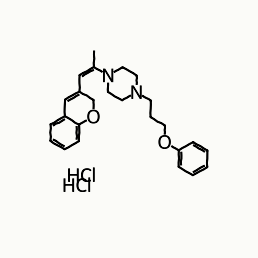 CC(=CC1=Cc2ccccc2OC1)N1CCN(CCCOc2ccccc2)CC1.Cl.Cl